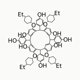 CCC1CCC(Oc2cc(O)c3cc2C(c2ccc(O)cc2)c2cc(c(O)cc2OC2CCC(CC)CC2)C(c2ccc(O)cc2)c2cc(c(OC4CCC(CC)CC4)cc2O)C(c2ccc(O)cc2)c2cc(c(O)cc2OC2CCC(CC)CC2)C3c2ccc(O)cc2)CC1